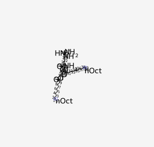 CCCCCCCC/C=C\CCCCCCCC(=O)OCC(COC(=O)[C@@H](N)CCCNC(=N)N)OC(=O)CCCCCCC/C=C\CCCCCCCC